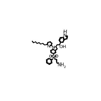 CCCCCCCCc1cccc(N2c3ccc(S(=O)(=O)N(CCN)c4ccccc4)cc3CC2CC(O)c2ccc3[nH]ccc3c2)n1